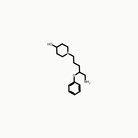 NCC(CCCN1CCC(O)CC1)Oc1ccccc1